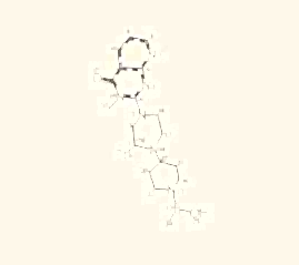 CC[C@H]1CN(c2nc3ncccc3c(=O)n2C)CCN1C1CCN(B(C)O)CC1